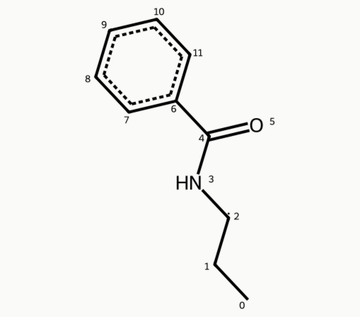 CC[CH]NC(=O)c1ccccc1